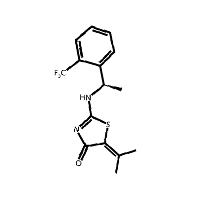 CC(C)=C1SC(N[C@H](C)c2ccccc2C(F)(F)F)=NC1=O